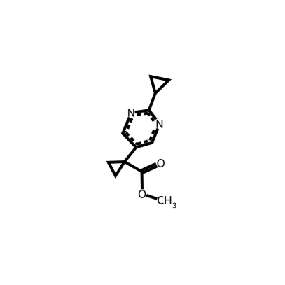 COC(=O)C1(c2cnc(C3CC3)nc2)CC1